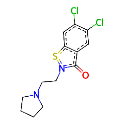 O=c1c2cc(Cl)c(Cl)cc2sn1CCN1CCCC1